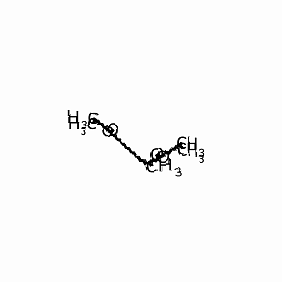 CC(C)CCCCCOC(=O)CCCCCCCCCCCCCCCC(C)CCC(=O)OCCCCCC(C)C